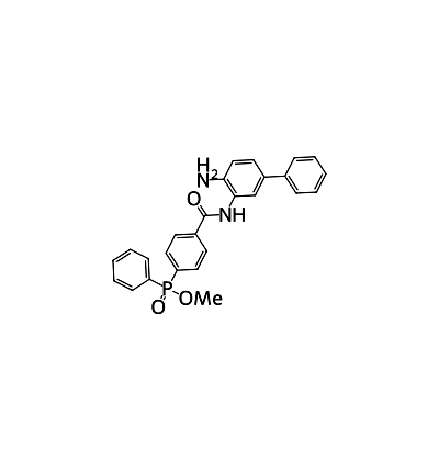 COP(=O)(c1ccccc1)c1ccc(C(=O)Nc2cc(-c3ccccc3)ccc2N)cc1